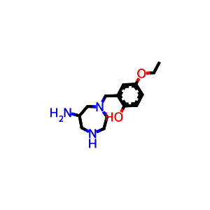 CCOc1ccc(O)c(CN2CCNCC(N)C2)c1